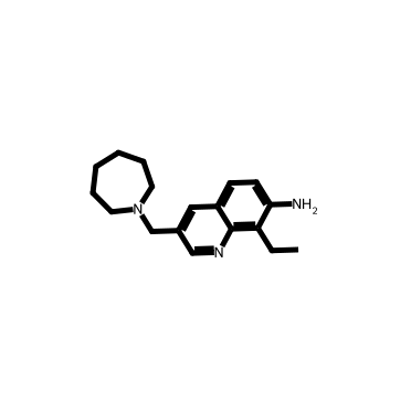 CCc1c(N)ccc2cc(CN3CCCCCC3)cnc12